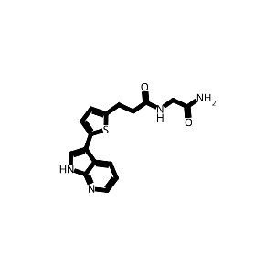 NC(=O)CNC(=O)C[CH]c1ccc(-c2c[nH]c3ncccc23)s1